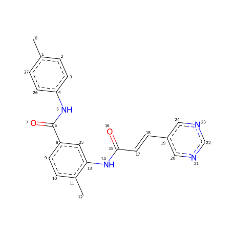 Cc1ccc(NC(=O)c2ccc(C)c(NC(=O)C=Cc3cncnc3)c2)cc1